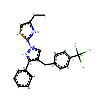 CCc1csc(-n2cc(Cc3ccc(C(F)(F)F)cc3)c(-c3ccccc3)n2)n1